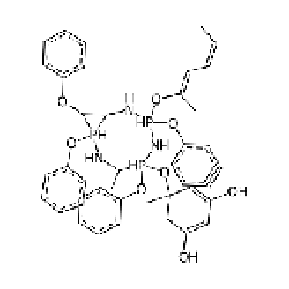 C/C=C\C=C(/C)O[PH]1(Oc2cc#ccc2)NC2C(Oc3ccccc3)[PH]2(Oc2ccccc2)NC(C)[PH](Oc2ccccc2)(OC2(C)C=C(O)C=C(O)C2)N1